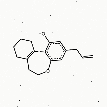 C=CCc1cc(O)c2c(c1)OCCC1=C2CCCC1